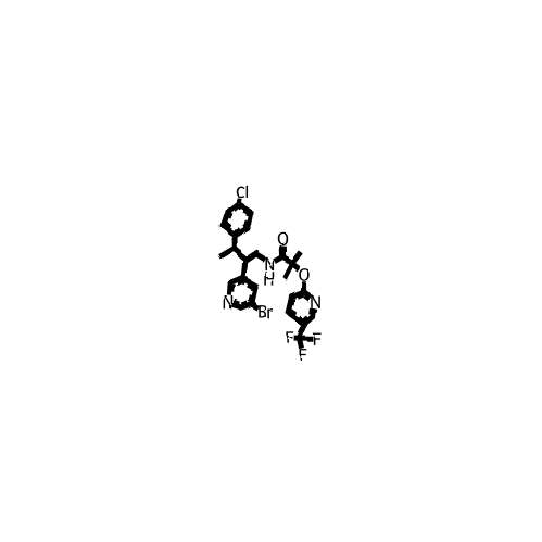 CC(c1ccc(Cl)cc1)C(CNC(=O)C(C)(C)Oc1ccc(C(F)(F)F)cn1)c1cncc(Br)c1